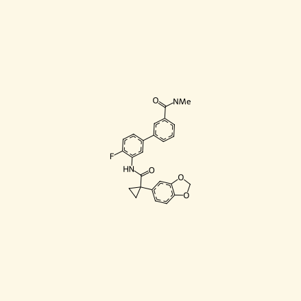 CNC(=O)c1cccc(-c2ccc(F)c(NC(=O)C3(c4ccc5c(c4)OCO5)CC3)c2)c1